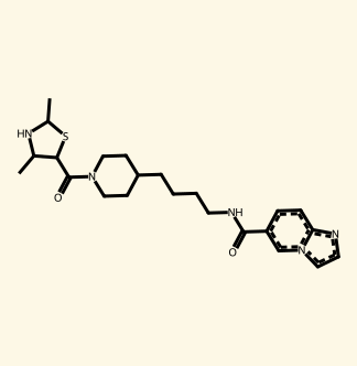 CC1NC(C)C(C(=O)N2CCC(CCCCNC(=O)c3ccc4nccn4c3)CC2)S1